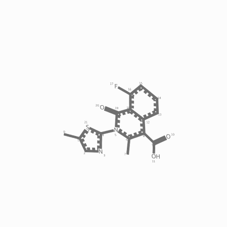 Cc1cnc(-n2c(C)c(C(=O)O)c3cccc(F)c3c2=O)s1